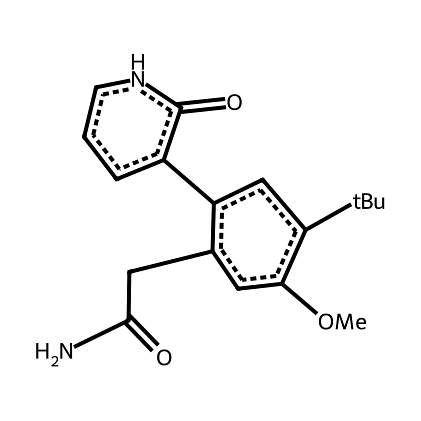 COc1cc(CC(N)=O)c(-c2ccc[nH]c2=O)cc1C(C)(C)C